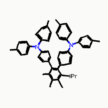 Cc1ccc(N(c2ccc(C)cc2)c2ccc(-c3c(C)c(C)c(C)c(C(C)C)c3-c3ccc(N(c4ccc(C)cc4)c4ccc(C)cc4)cc3)cc2)cc1